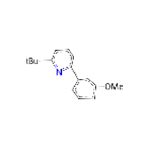 COc1cccc(-c2cccc(C(C)(C)C)n2)c1